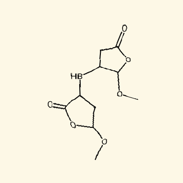 COC1CC(BC2CC(=O)OC2OC)C(=O)O1